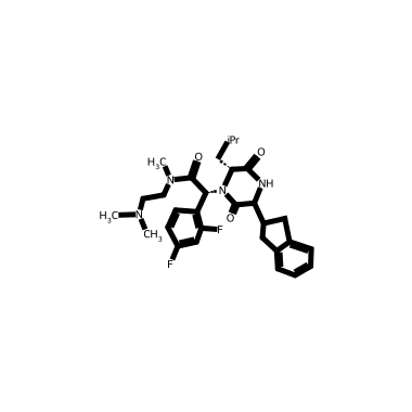 CC(C)C[C@@H]1C(=O)NC(C2Cc3ccccc3C2)C(=O)N1[C@@H](C(=O)N(C)CCN(C)C)c1ccc(F)cc1F